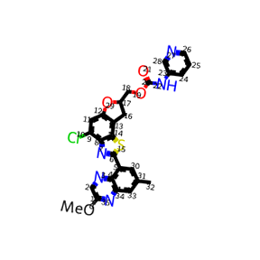 COc1cnc2c(-c3nc4c(Cl)cc5c(c4s3)CC(COC(=O)Nc3cccnc3)O5)cc(C)cc2n1